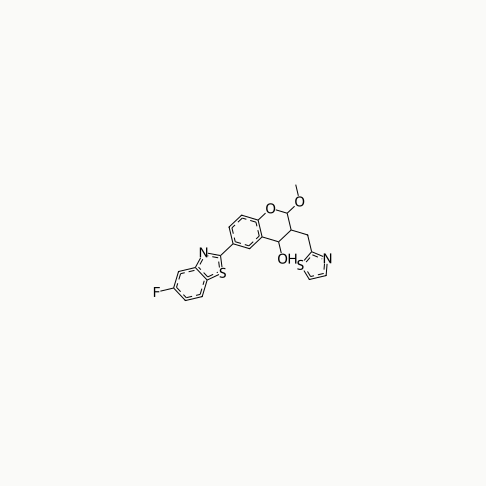 COC1Oc2ccc(-c3nc4cc(F)ccc4s3)cc2C(O)C1Cc1nccs1